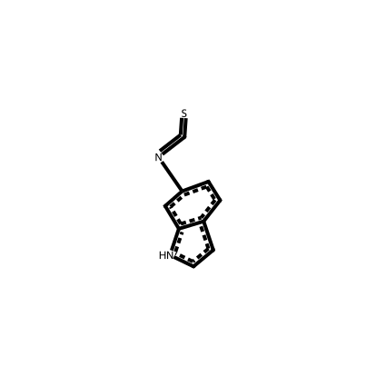 S=C=Nc1ccc2cc[nH]c2c1